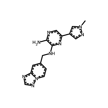 Cn1cc(-c2cnc(N)c(NCc3ccn4ncnc4c3)n2)cn1